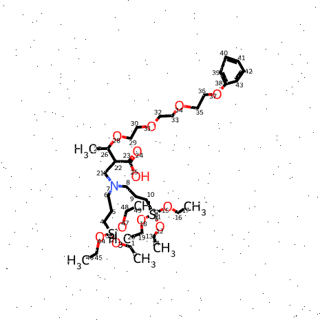 CCO[Si](CCCN(CCC[Si](OCC)(OCC)OCC)CC(C(=O)O)C(C)OCCOCCOCCOc1ccccc1)(OCC)OCC